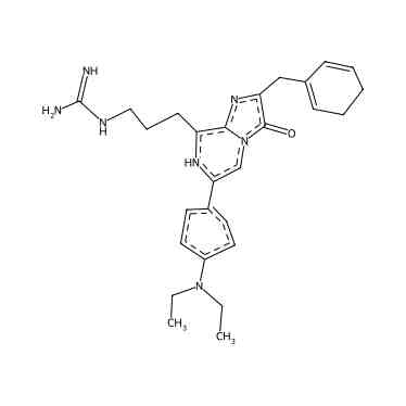 CCN(CC)c1ccc(-c2cn3c(=O)c(CC4=CCCC=C4)nc-3c(CCCNC(=N)N)[nH]2)cc1